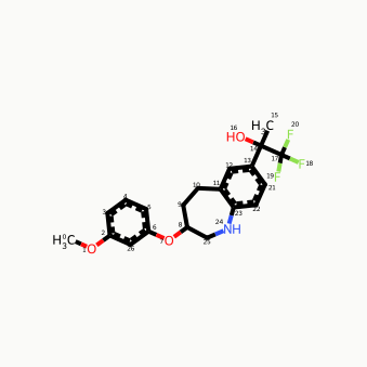 COc1cccc(OC2CCc3cc(C(C)(O)C(F)(F)F)ccc3NC2)c1